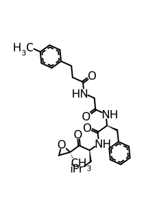 Cc1ccc(CCC(=O)NCC(=O)N[C@@H](Cc2ccccc2)C(=O)N[C@@H](CC(C)C)C(=O)[C@@]2(C)CO2)cc1